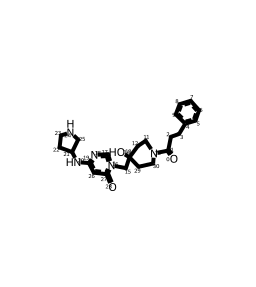 O=C(CCc1ccccc1)N1CCC(O)(Cn2cnc(NC3CCNC3)cc2=O)CC1